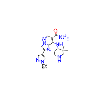 CCn1cc(-c2cn3ncc(C(N)=O)c(NC4CCNCC4(C)C)c3n2)cn1